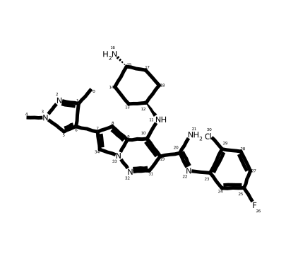 Cc1nn(C)cc1-c1cc2c(N[C@H]3CC[C@H](N)CC3)c(/C(N)=N/c3cc(F)ccc3Cl)cnn2c1